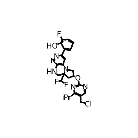 CC(C)c1nc(OC2CN3c4cc(-c5cccc(F)c5O)nnc4NCC3(C(F)F)C2)ncc1CCl